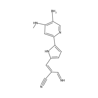 Bc1cnc(-c2ccc(/C=C(/C#N)C=N)[nH]2)cc1NC